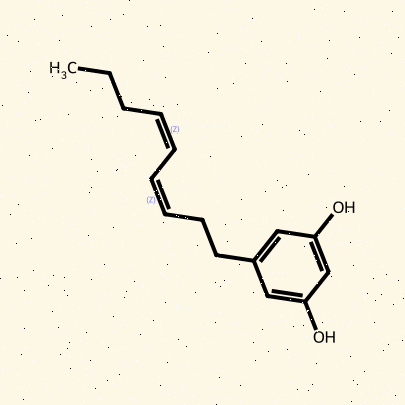 CCC/C=C\C=C/CCc1cc(O)cc(O)c1